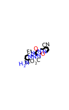 CCOC(=O)Cn1c(=O)n(Cc2ncccc2C#N)c(=O)c2c1nc(N1CCCC(N)C1)n2CC